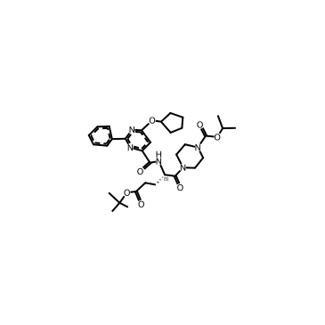 CC(C)OC(=O)N1CCN(C(=O)[C@H](CCC(=O)OC(C)(C)C)NC(=O)c2cc(OC3CCCC3)nc(-c3ccccc3)n2)CC1